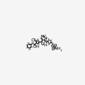 NS(=O)(=O)OC[C@@H]1CC[C@H](Nc2ncncc2C(=O)c2cc(C(O)Cc3ccccc3)c(Cl)s2)C1